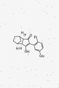 CCc1ccc(O)cc1C1=C(O)[C@H]2[C@H]3CC[C@H](C3)[C@H]2C1=O